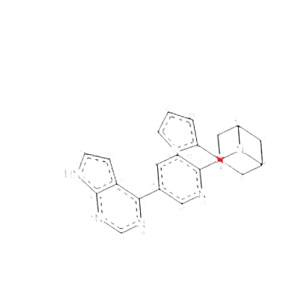 c1csc(CN2C3CC2CN(c2ccc(-c4ncnc5[nH]ccc45)cn2)C3)c1